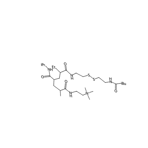 CCC(C)C(=O)NCCSSCCNC(=O)C(CC)CC(CC(C)C(=O)NCC[N+](C)(C)C)C(=O)NC(C)C